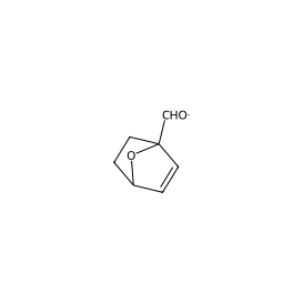 O=[C]C12C=CC(CC1)O2